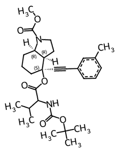 COC(=O)N1CC[C@@H]2[C@H]1CCC[C@]2(C#Cc1cccc(C)c1)OC(=O)C(NC(=O)OC(C)(C)C)C(C)C